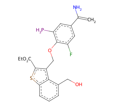 C=C(N)c1cc(F)c(OCc2c(C(=O)OCC)sc3cccc(CO)c23)c(P)c1